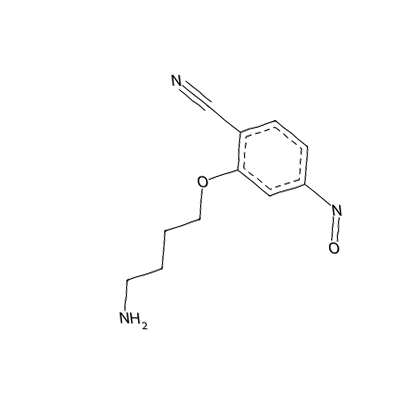 N#Cc1ccc(N=O)cc1OCCCCN